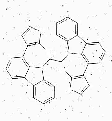 Cc1sccc1-c1nccc2c3ccccc3n(CCn3c4ccccc4c4ccnc(-c5ccsc5C)c43)c12